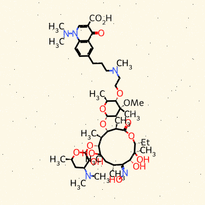 CC[C@H]1OC(=O)[C@H](C)[C@@H](O[C@H]2C[C@@](C)(OC)[C@@H](OCCN(C)CCCc3ccc4c(c3)c(=O)c(C(=O)O)cn4N(C)C)[C@H](C)O2)[C@H](C)[C@@H](O[C@@H]2O[C@H](C)C[C@H](N(C)C)[C@H]2O)[C@](C)(O)C[C@@H](C)/C(=N\O)[C@@H](O)[C@]1(C)O